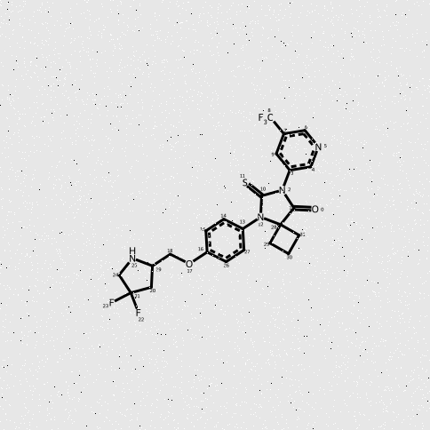 O=C1N(c2cncc(C(F)(F)F)c2)C(=S)N(c2ccc(OCC3CC(F)(F)CN3)cc2)C12CCC2